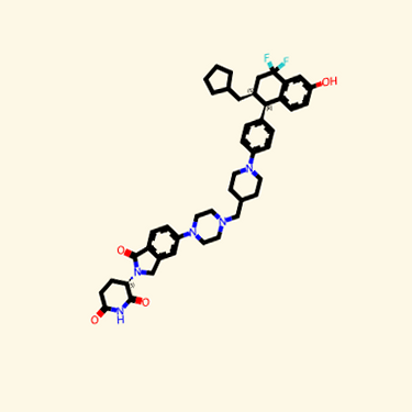 O=C1CC[C@H](N2Cc3cc(N4CCN(CC5CCN(c6ccc([C@@H]7c8ccc(O)cc8C(F)(F)C[C@@H]7CC7CCCC7)cc6)CC5)CC4)ccc3C2=O)C(=O)N1